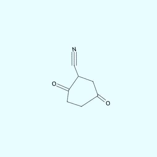 N#CC1CC(=O)CCC1=O